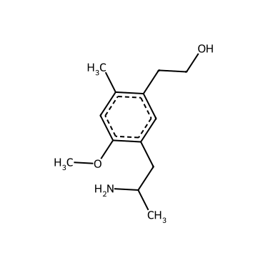 COc1cc(C)c(CCO)cc1CC(C)N